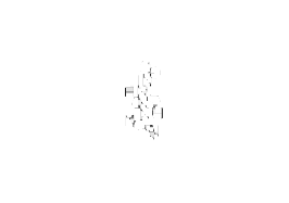 CCn1ncc2c(Nc3nc(N[C@H](c4ccc(Cl)s4)[C@H](C)NC(=O)OC(C)(C)C)c(F)cc3C#N)cccc21